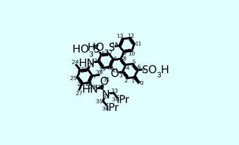 C=c1cc2c(cc1S(=O)(=O)O)=C(c1ccccc1S(=O)(=O)O)c1cc(S(=O)(=O)O)c(Nc3c(C)cc(C)c(NC(=O)N(CC(C)C)CC(C)C)c3C)cc1O2